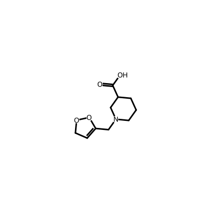 O=C(O)C1CCCN(CC2=CCOO2)C1